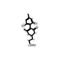 CCc1cc(C)cc(CC)c1C1=C(C)CC(CCSC)CC1=O